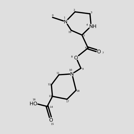 CN1CCNC(C(=O)OCN2CCC(C(=O)O)CC2)C1